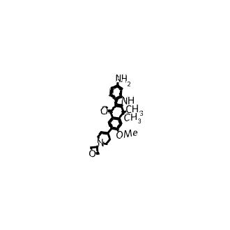 COc1cc2c(cc1C1=CCN(C3COC3)CC1)C(=O)c1c([nH]c3cc(N)ccc13)C2(C)C